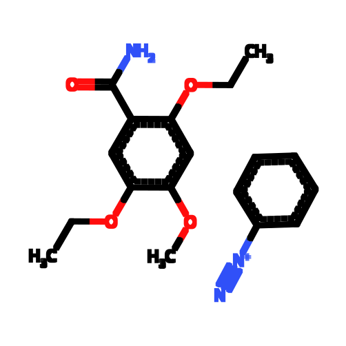 CCOc1cc(C(N)=O)c(OCC)cc1OC.N#[N+]c1ccccc1